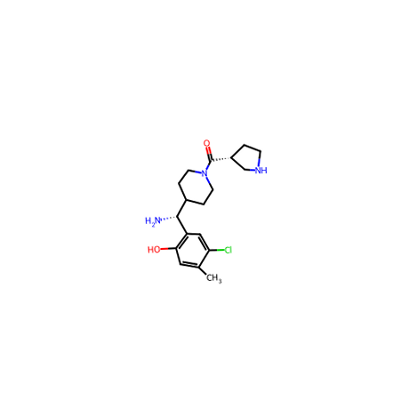 Cc1cc(O)c([C@H](N)C2CCN(C(=O)[C@@H]3CCNC3)CC2)cc1Cl